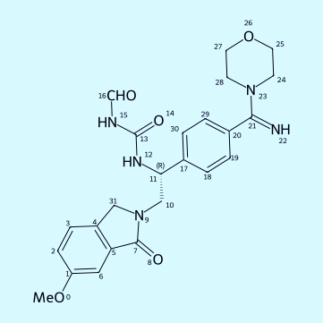 COc1ccc2c(c1)C(=O)N(C[C@H](NC(=O)NC=O)c1ccc(C(=N)N3CCOCC3)cc1)C2